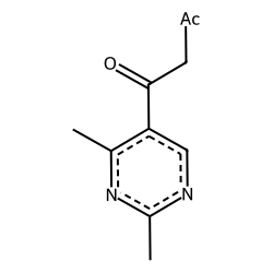 CC(=O)CC(=O)c1cnc(C)nc1C